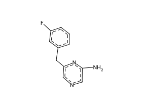 Nc1cncc(Cc2cccc(F)c2)n1